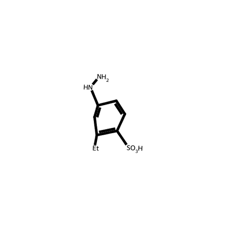 CCc1cc(NN)ccc1S(=O)(=O)O